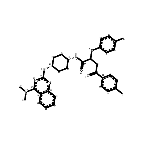 Cc1ccc(SC(CC(=O)c2ccc(C)cc2)C(=O)N[C@H]2CC[C@@H](Nc3nc(N(C)C)c4ccccc4n3)CC2)cc1